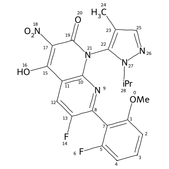 COc1cccc(F)c1-c1nc2c(cc1F)c(O)c([N+](=O)[O-])c(=O)n2-c1c(C)cnn1C(C)C